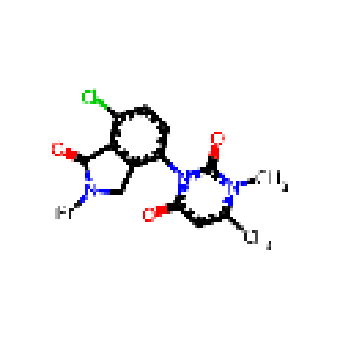 CC(C)N1Cc2c(-n3c(=O)cc(C(F)(F)F)n(C)c3=O)ccc(Cl)c2C1=O